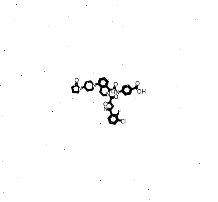 O=C(O)c1ccc(NC(=O)[C@@H]2c3cccc(N4CCC(N5CCCC5=O)CC4)c3CCN2C(=O)C2CC(c3cccc(Cl)c3F)=NO2)cc1